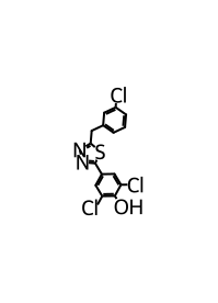 Oc1c(Cl)cc(-c2nnc(Cc3cccc(Cl)c3)s2)cc1Cl